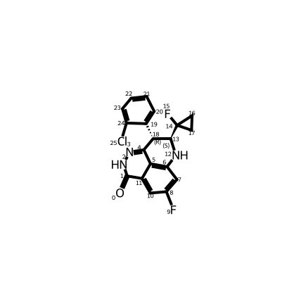 O=c1[nH]nc2c3c(cc(F)cc13)N[C@H](C1(F)CC1)[C@H]2c1ccccc1Cl